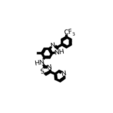 Cc1cc2nc(-c3cccc(C(F)(F)F)c3)[nH]c2cc1Nc1nc(-c2cccnc2)cs1